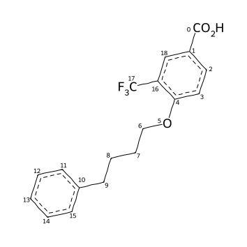 O=C(O)c1ccc(OCCCCc2ccccc2)c(C(F)(F)F)c1